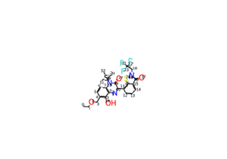 CCOCc1ccc2c(nc(-c3cccc4c(=O)n(CC(F)(F)F)sc34)c(=O)n2[Si](C)(C)C)c1O